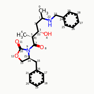 CC(C[C@H](O)[C@@H](C)C(=O)N1C(=O)OC[C@@H]1Cc1ccccc1)NCc1ccccc1